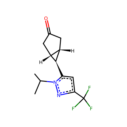 CC(C)n1nc(C(F)(F)F)cc1[C@H]1[C@@H]2CC(=O)C[C@@H]21